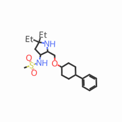 CCC1(CC)CC(NS(C)(=O)=O)C(COC2CCC(c3ccccc3)CC2)N1